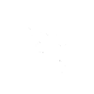 COc1ccc2nccc(N3CCC(N(CCNC(=O)C(F)(F)F)C(=O)OC(C)(C)C)C3)c2n1